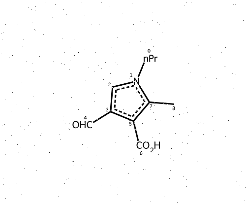 CCCn1cc(C=O)c(C(=O)O)c1C